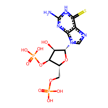 Nc1nc2c(ncn2[C@@H]2O[C@H](COP(=O)(O)O)[C@@H](OP(=O)(O)O)[C@H]2O)c(=S)[nH]1